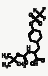 CC(C)(C)OC(=O)NC(CC1CC=C(OS(=O)(=O)C(F)(F)F)CC1)C(=O)O